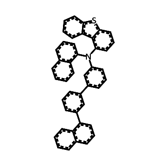 c1cc(-c2cccc(N(c3cccc4ccccc34)c3cccc4sc5ccccc5c34)c2)cc(-c2cccc3ccccc23)c1